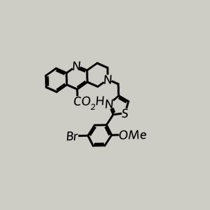 COc1ccc(Br)cc1-c1nc(CN2CCc3nc4ccccc4c(C(=O)O)c3C2)cs1